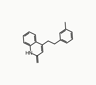 C=C1C=C(CCc2cccc(C)c2)c2ccccc2N1